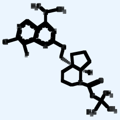 CN(C)c1nc(OC[C@]23CCC[C@H]2N(C(=O)OC(C)(C)C)CCC3)nc2c(F)c(Cl)ncc12